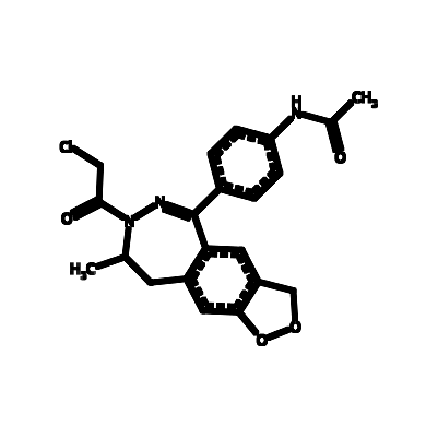 CC(=O)Nc1ccc(C2=NN(C(=O)CCl)C(C)Cc3cc4c(cc32)COO4)cc1